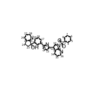 O=S(=O)(c1ccccc1)n1cc(-c2csc(-c3cccc([C@]4(O)CCc5cccnc54)c3)n2)c2cccnc21